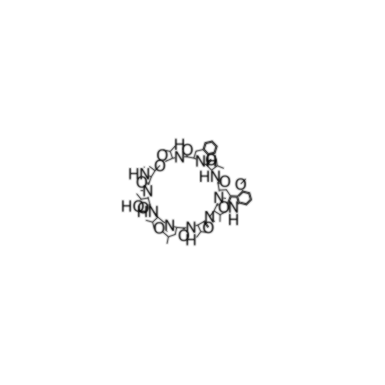 CNC1C(=O)N(C)C(C(C)O)C(=O)NC(C(C)C)C(=O)N(C)C(CC(C)C)C(=O)NC(C(C)C)C(=O)N(C)C(C(C)C)C(=O)N(C)C(Cc2c[nH]c3cccc(OC)c23)C(=O)NC(C(C)C)C(=O)NC(Cc2ccccc2)C(=O)NC(C(C)C)C(=O)OC1C